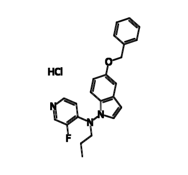 CCCN(c1ccncc1F)n1ccc2cc(OCc3ccccc3)ccc21.Cl